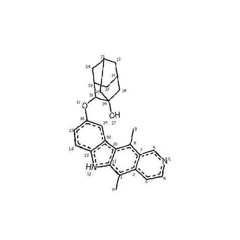 Cc1c2ccncc2c(C)c2c1[nH]c1ccc(OC3C4CC5CC(C4)CC3(O)C5)cc12